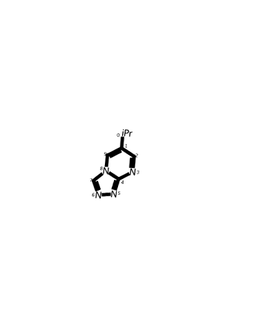 CC(C)c1cnc2nncn2c1